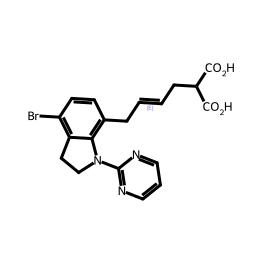 O=C(O)C(C/C=C/Cc1ccc(Br)c2c1N(c1ncccn1)CC2)C(=O)O